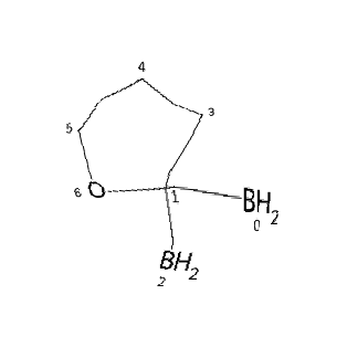 BC1(B)CCCO1